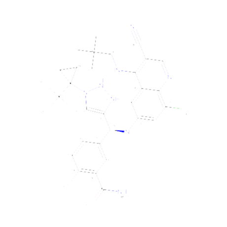 CC(C)(C)CNc1c(C#N)cnc2c(Cl)cc(N[C@H](C3=CN(C4(C(F)(F)F)CC4)NN3)c3ccc(F)c(C(N)=O)c3)cc12